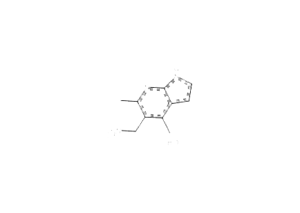 Cc1nc2[nH]ccc2c(C)c1CN.Cl